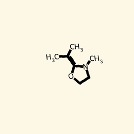 CC(C)=C1OCCN1C